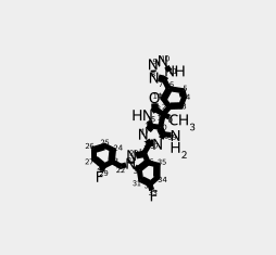 CC1(c2cccc(-c3nnn[nH]3)c2)C(=O)Nc2nc(-c3nn(Cc4ccccc4F)c4cc(F)ccc34)nc(N)c21